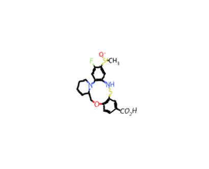 C[S+]([O-])c1cc2c(cc1F)N1CCCCC1COc1ccc(C(=O)O)cc1SN2